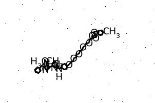 Cc1ccc(S(=O)(=O)OCCOCCOCCOCCOCCOC2CCC(Nc3nccc(-c4cnn(Cc5ccccc5)c4N(C)C)n3)CC2)cc1